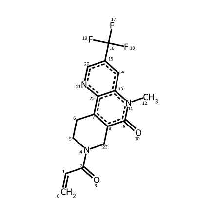 C=CC(=O)N1CCc2c(c(=O)n(C)c3cc(C(F)(F)F)cnc23)C1